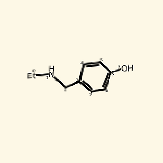 CCNCc1ccc(O)cc1